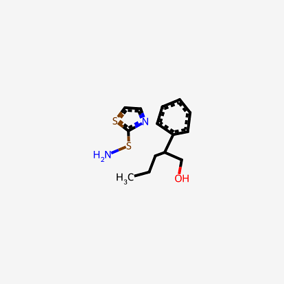 CCCC(CO)c1ccccc1.NSc1nccs1